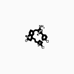 Cn1c(-c2ccc(Cl)cc2)nc(N)c1Cc1ccc2c(c1)c(CCc1ccc(Cl)s1)cc(=O)n2C